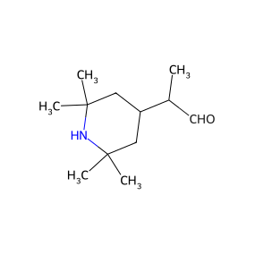 CC(C=O)C1CC(C)(C)NC(C)(C)C1